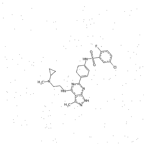 Cc1n[nH]c2nc(C3=CC=C(NS(=O)(=O)c4cc(Cl)ccc4F)CC3)nc(NCCN(C)C3CC3)c12